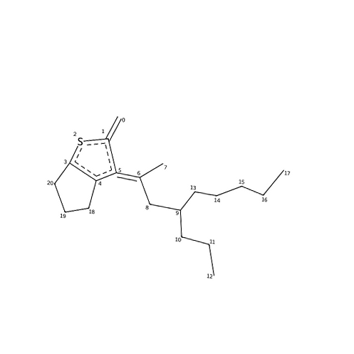 C=c1sc2c(/c1=C(/C)CC(CCC)CCCCC)CCC2